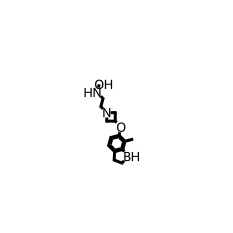 Cc1c(OC2CN(CCNO)C2)ccc2c1BCC2